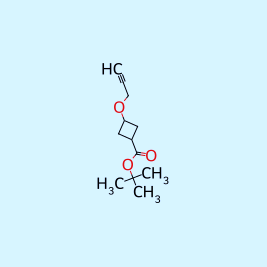 C#CCOC1CC(C(=O)OC(C)(C)C)C1